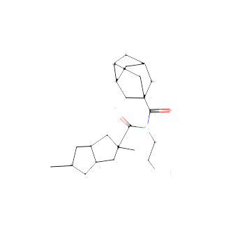 CC1CC2CC(C)(C(=O)N(CCS(=O)(=O)O)C(=O)C34CC5CC(C3)C(C5)C4)CC2C1